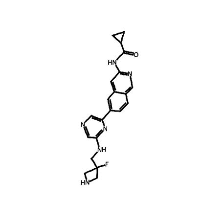 O=C(Nc1cc2cc(-c3cncc(NCC4(F)CNC4)n3)ccc2cn1)C1CC1